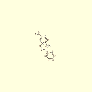 FC(F)(F)c1ccc2c(c1)CCC(c1ccccc1)N2